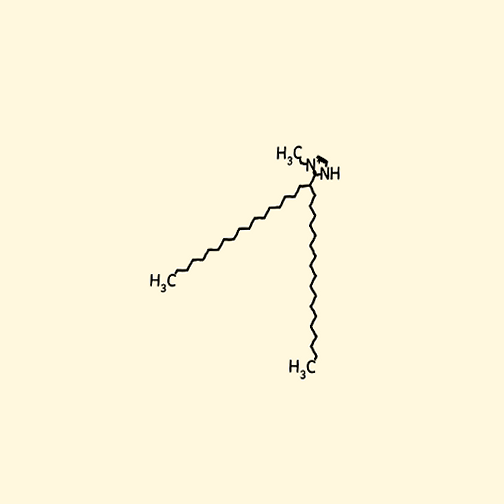 CCCCCCCCCCCCCCCCCCC(CCCCCCCCCCCCCCCCCC)c1[nH]cc[n+]1CC